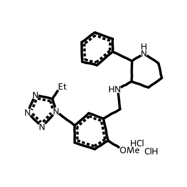 CCc1nnnn1-c1ccc(OC)c(CNC2CCCNC2c2ccccc2)c1.Cl.Cl